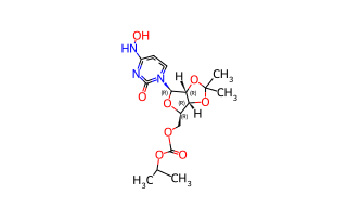 CC(C)OC(=O)OC[C@H]1O[C@@H](n2ccc(NO)nc2=O)[C@@H]2OC(C)(C)O[C@@H]21